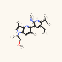 CCc1cc(-c2nc3c(C)cn([C@@H](C)COC)c3cc2C)c(NC)nc1C(C)C